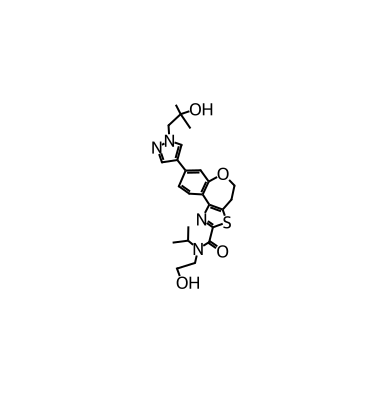 CC(C)N(CCO)C(=O)c1nc2c(s1)CCOc1cc(-c3cnn(CC(C)(C)O)c3)ccc1-2